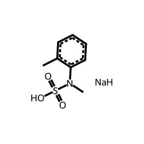 Cc1ccccc1N(C)S(=O)(=O)O.[NaH]